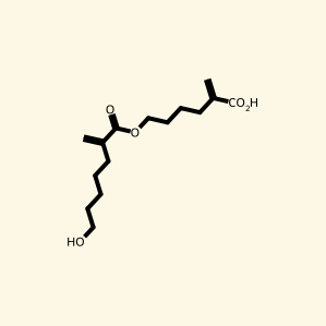 C=C(CCCCOC(=O)C(=C)CCCCCO)C(=O)O